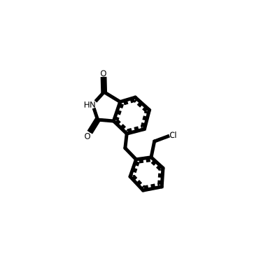 O=C1NC(=O)c2c(Cc3ccccc3CCl)cccc21